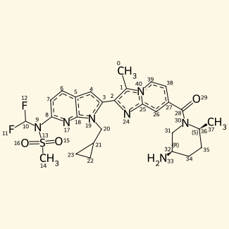 Cc1c(-c2cc3ccc(N(C(F)F)S(C)(=O)=O)nc3n2CC2CC2)nc2cc(C(=O)N3C[C@H](N)CC[C@@H]3C)ccn12